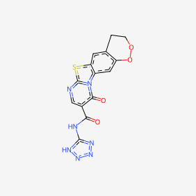 O=C(Nc1nnn[nH]1)c1cnc2sc3cc4c(cc3n2c1=O)OOCC4